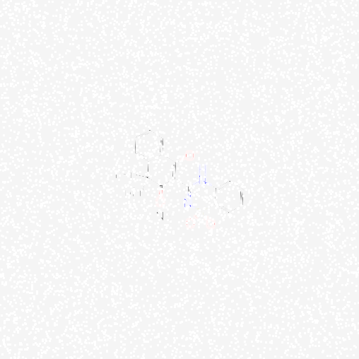 CCCC1(CCC)C(=O)C(C2=NS(=O)(=O)c3ccccc3N2)=C([O-])c2ccccc21.[Na+]